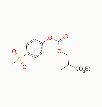 CCOC(=O)C(C)COC(=O)Oc1ccc(S(C)(=O)=O)cc1